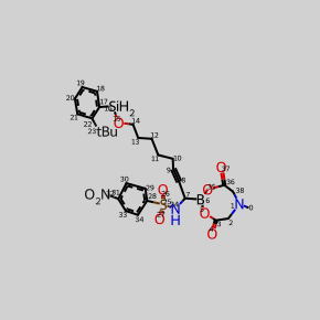 CN1CC(=O)OB(C(C#CCCCCCO[SiH2]c2ccccc2C(C)(C)C)NS(=O)(=O)c2ccc([N+](=O)[O-])cc2)OC(=O)C1